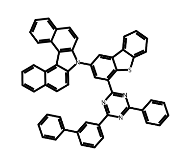 c1ccc(-c2cccc(-c3nc(-c4ccccc4)nc(-c4cc(-n5c6ccc7ccccc7c6c6c7ccccc7ccc65)cc5c4sc4ccccc45)n3)c2)cc1